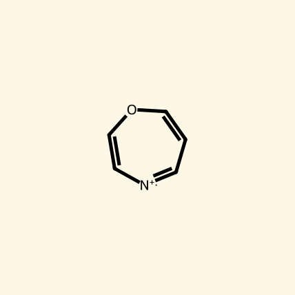 C1=COC=C[N+]=C1